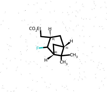 CCOC(=O)C[C@H]1C[C@H]2C[C@@H](C1F)C2(C)C